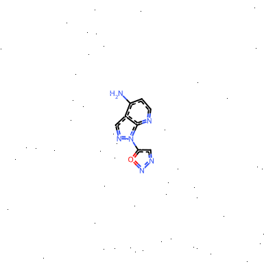 Nc1ccnc2c1cnn2-c1cnno1